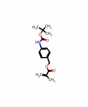 C=C(C)C(=O)OCc1ccc(NC(=O)OC(C)(C)C)cc1